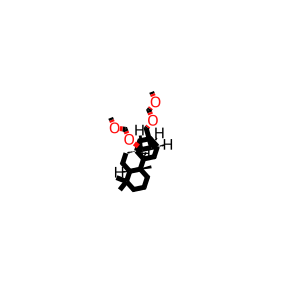 COCOC[C@H]1[C@H]2CC[C@@]3(CC[C@@H]4C(C)(C)CCC[C@@]4(C)[C@@H]3C2)[C@@H]1OCOC